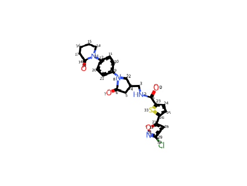 O=C(NCC1CC(=O)N(c2ccc(N3CCCCC3=O)cc2)C1)c1ccc(-c2cc(Cl)no2)s1